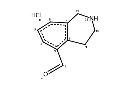 Cl.O=Cc1cccc2c1CCNC2